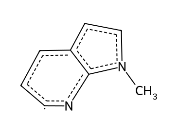 Cn1ccc2cc[c]nc21